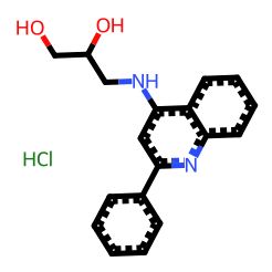 Cl.OCC(O)CNc1cc(-c2ccccc2)nc2ccccc12